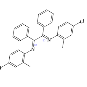 Cc1cc(Cl)ccc1/N=C(/C(=N/c1ccc(Cl)cc1C)c1ccccc1)c1ccccc1